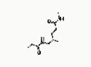 CCC(=O)NCC(C)CCC(=O)NC